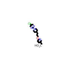 O=C(O)Cc1ccc(OCCCC2CCN(c3ncc(Cl)cn3)CC2)nc1